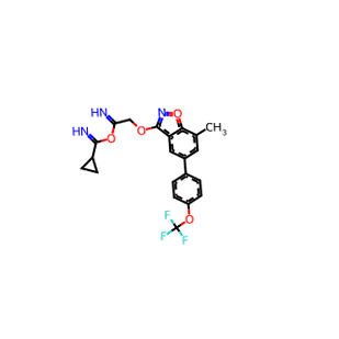 Cc1cc(-c2ccc(OC(F)(F)F)cc2)cc2c(OCC(=N)OC(=N)C3CC3)noc12